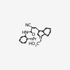 CCCc1ccccc1NC(=O)C(C#N)=Cc1cn(CC(=O)O)c2ccccc12